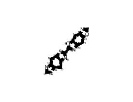 c1nc2cc3oc(-c4nc5cc6scnc6cc5s4)nc3cc2o1